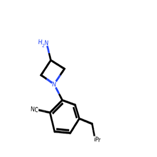 CC(C)Cc1ccc(C#N)c(N2CC(N)C2)c1